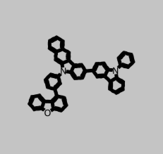 c1ccc(-n2c3ccccc3c3cc(-c4ccc5c(c4)c4cc6ccccc6cc4n5-c4cccc(-c5cccc6oc7ccccc7c56)c4)ccc32)cc1